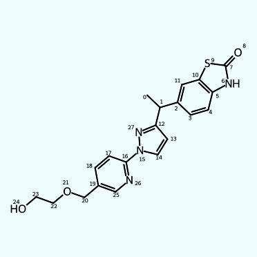 CC(c1ccc2[nH]c(=O)sc2c1)c1ccn(-c2ccc(COCCO)cn2)n1